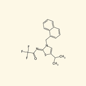 CC(C)c1cn(Cc2cccc3ccccc23)c(=NC(=O)C(F)(F)F)s1